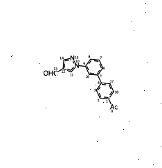 CC(=O)c1ccc(-c2cccc(-n3cc(C=O)cn3)c2)cc1